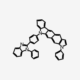 c1ccc(-n2ccc3cc4cc5c6ccccc6n(-c6ccc(-c7nc8ccccc8n7-c7ccccc7)cc6)c5cc4cc32)cc1